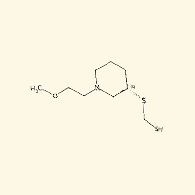 COCCN1CCC[C@H](SCS)C1